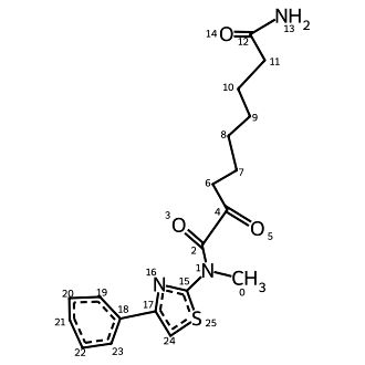 CN(C(=O)C(=O)CCCCCCC(N)=O)c1nc(-c2ccccc2)cs1